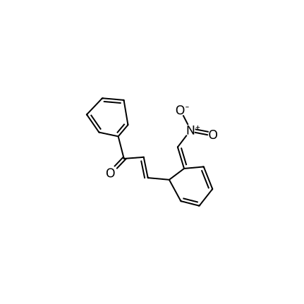 O=C(C=CC1C=CC=CC1=C[N+](=O)[O-])c1ccccc1